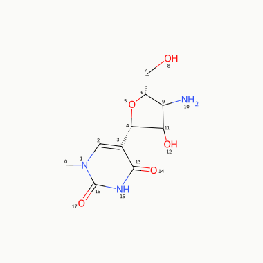 Cn1cc([C@@H]2O[C@H](CO)C(N)C2O)c(=O)[nH]c1=O